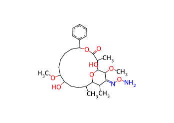 COC1CCCCC(c2ccccc2)OC(=O)C(C)C2(O)OC(C(C)CCC1O)C(C)C(=NON)C2OC